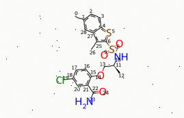 Cc1ccc2sc(S(=O)(=O)N[C@@H](C)COc3ccc(Cl)cc3C(N)=O)c(C)c2c1